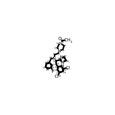 CC(=O)N1CCN(CCN(Cc2cccc(F)c2)C(Cc2cc(Cl)cc(Cl)c2)c2ncc[nH]2)CC1